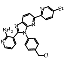 CCc1ccc(-c2ccc3nc(-c4cccnc4N)n(-c4ccc(CCl)cc4)c3n2)nc1